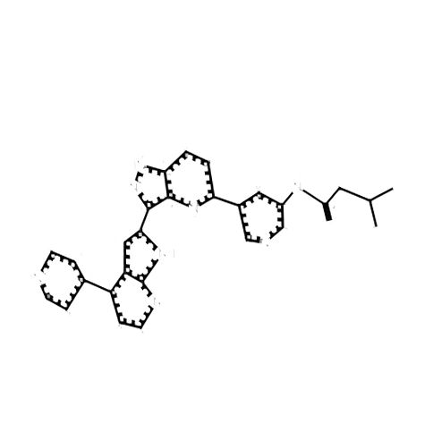 CC(C)CC(=O)Nc1cncc(-c2ccc3[nH]nc(-c4cc5c(-c6ccncc6)ccnc5[nH]4)c3n2)c1